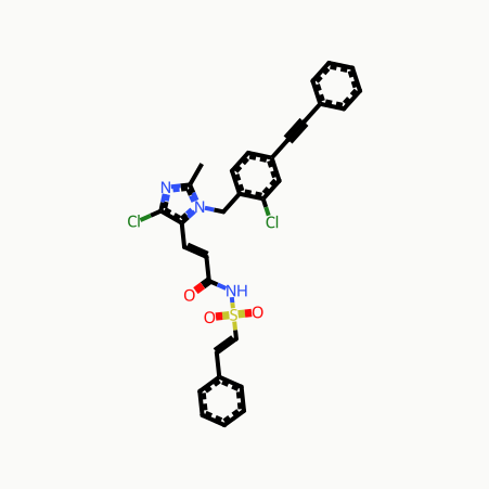 Cc1nc(Cl)c(C=CC(=O)NS(=O)(=O)C=Cc2ccccc2)n1Cc1ccc(C#Cc2ccccc2)cc1Cl